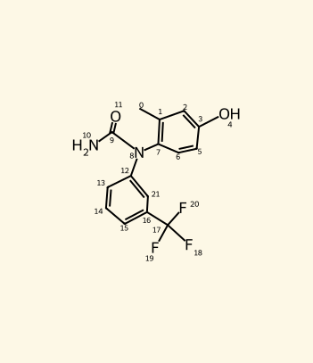 Cc1cc(O)ccc1N(C(N)=O)c1cccc(C(F)(F)F)c1